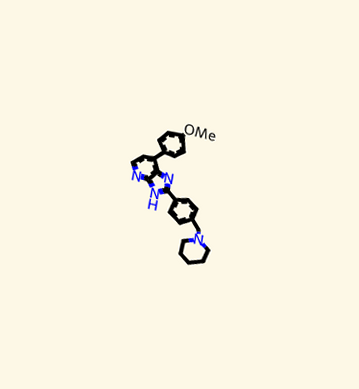 COc1ccc(-c2ccnc3[nH]c(-c4ccc(CN5CCCCC5)cc4)nc23)cc1